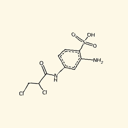 Nc1cc(NC(=O)C(Cl)CCl)ccc1S(=O)(=O)O